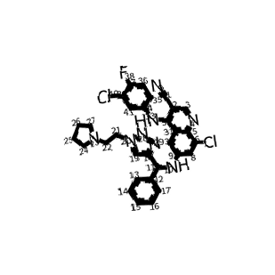 N#Cc1cnc2c(Cl)cc(NC(c3ccccc3)c3cn(CCN4CCCC4)nn3)cc2c1Nc1ccc(F)c(Cl)c1